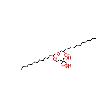 CCC(CO)(CO)CO.CCCCCCCCCCCCC(O)COCC(O)CCCCCCCCCCCC